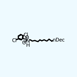 CCCCCCCCCCCCCCCCCCCCNS(=O)(=O)c1cc(Cl)ccc1Cl